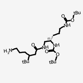 CC(C)(C)OC(=O)NCCC[C@@H](CNC(=O)C[C](CCCN)C(C)(C)C)NC(=O)OC(C)(C)C